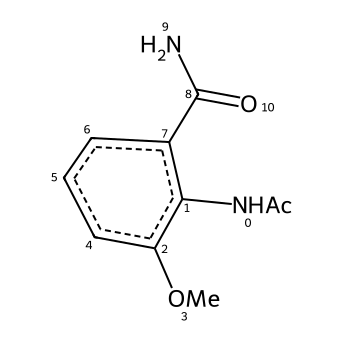 [CH2]C(=O)Nc1c(OC)cccc1C(N)=O